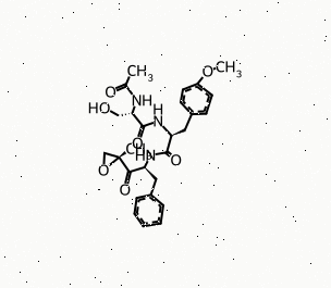 COc1ccc(C[C@H](NC(=O)[C@H](CO)NC(C)=O)C(=O)N[C@@H](Cc2ccccc2)C(=O)[C@@]2(C)CO2)cc1